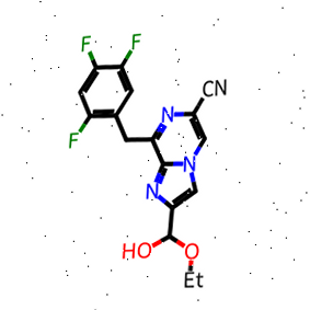 CCOC(O)c1cn2cc(C#N)nc(Cc3cc(F)c(F)cc3F)c2n1